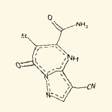 CCc1c(C(N)=O)[nH]c2c(C#N)cnn2c1=O